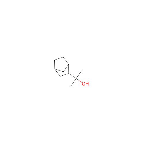 CC(C)(O)C1CC2=CCC1C2